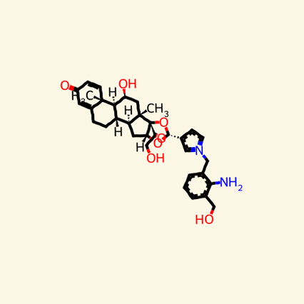 C[C@]12C=CC(=O)C=C1CC[C@@H]1[C@@H]2[C@@H](O)C[C@@]2(C)[C@H]1C[C@H]1O[C@@H](c3ccn(Cc4cccc(CO)c4N)c3)O[C@]12C(=O)CO